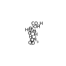 C[C@]12CCC3(CC1=CC[C@H]1[C@@H]4CC[C@H](C(=O)C(O)CC(=O)O)[C@@]45CC(OC5O)[C@@H]12)OCCO3